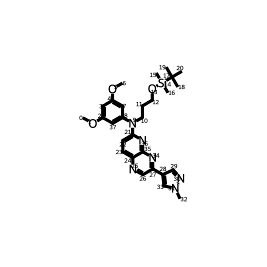 COc1cc(OC)cc(N(CCCO[Si](C)(C)C(C)(C)C)c2ccc3ncc(-c4cnn(C)c4)nc3n2)c1